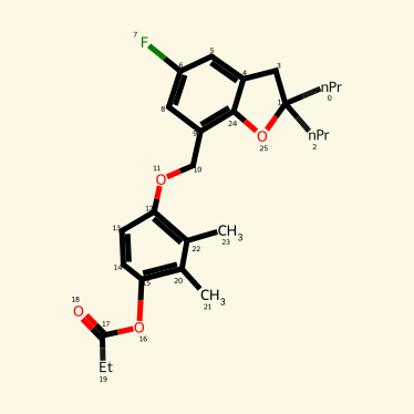 CCCC1(CCC)Cc2cc(F)cc(COc3ccc(OC(=O)CC)c(C)c3C)c2O1